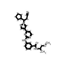 COCC(C)NC(=O)c1cccc(Nc2nccc(-c3cnn(C(CC#N)C4CCCC4)c3)n2)c1